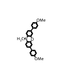 COc1ccc(-c2ccc3c(c2)Oc2cc(-c4ccc(OC)cc4)ccc2N3C)cc1